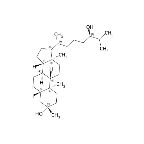 CC(C)[C@H](O)CCC[C@@H](C)[C@H]1CC[C@H]2[C@@H]3CC[C@H]4C[C@@](C)(O)CC[C@]4(C)[C@H]3CC[C@]12C